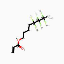 C=CC(=O)OCCCCC(F)(F)C(F)(F)C(F)(F)C(F)(F)F